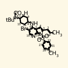 C/C=C/c1cc2c(NC3CCC(N(C(=O)O)C(C)(C)C)CC3)c(Br)cnc2n1S(=O)(=O)c1ccc(C)cc1